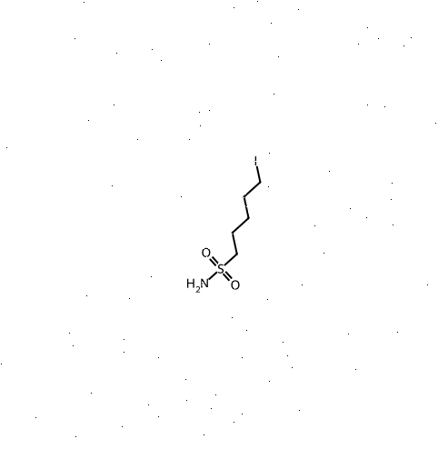 NS(=O)(=O)CCCCCI